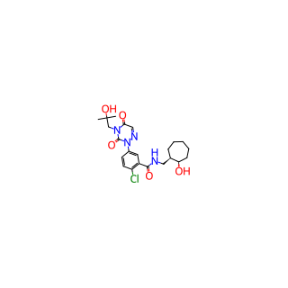 CC(C)(O)Cn1c(=O)cnn(-c2ccc(Cl)c(C(=O)NC[C@H]3CCCCC[C@H]3O)c2)c1=O